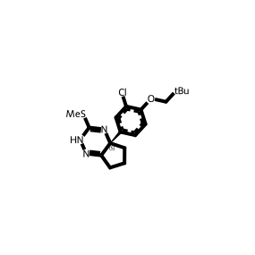 CSC1=N[C@]2(c3ccc(OCC(C)(C)C)c(Cl)c3)CCCC2=NN1